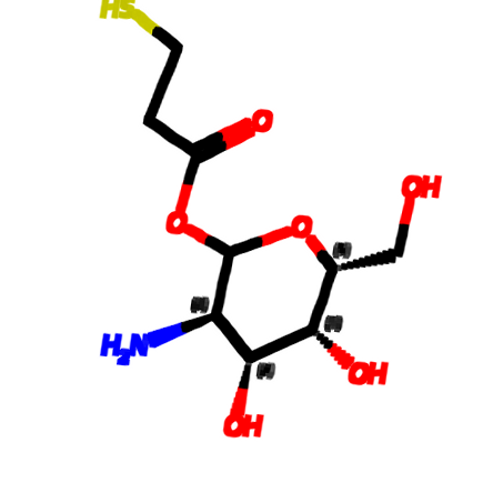 N[C@H]1C(OC(=O)CCS)O[C@H](CO)[C@H](O)[C@@H]1O